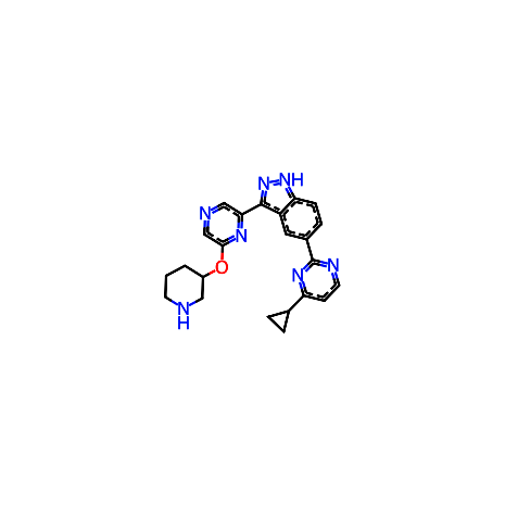 c1cc(C2CC2)nc(-c2ccc3[nH]nc(-c4cncc(OC5CCCNC5)n4)c3c2)n1